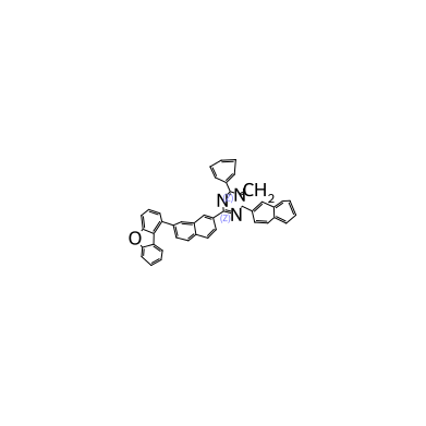 C=N/C(=N\C(=N/Cc1ccc2ccccc2c1)c1ccc2ccc(-c3cccc4oc5ccccc5c34)cc2c1)c1ccccc1